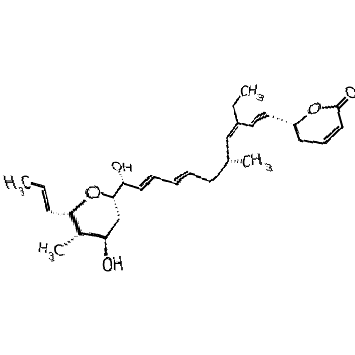 C/C=C/[C@@H]1O[C@H]([C@H](O)/C=C/C=C/C[C@@H](C)/C=C(\C=C\[C@H]2CC=CC(=O)O2)CC)C[C@@H](O)[C@@H]1C